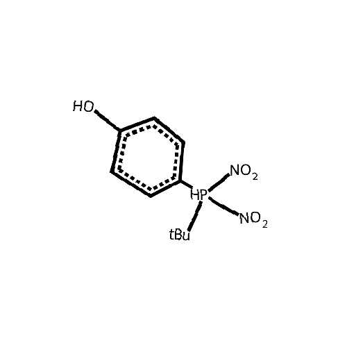 CC(C)(C)[PH](c1ccc(O)cc1)([N+](=O)[O-])[N+](=O)[O-]